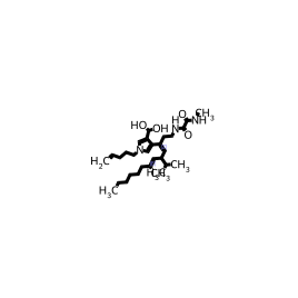 C=CCCCn1cc(/C(=C\C(/C=C(\C)CCCCCC)C(C)C)CCNC(=O)C(=O)NC)c(C(O)O)c1